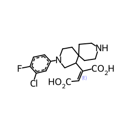 O=C(O)/C=C(/C(=O)O)C1CN(c2ccc(F)c(Cl)c2)CCC12CCNCC2